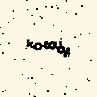 CC(C)(F)CN1CCC(c2cc3cc(-c4ccc(S(C)(=O)=O)cc4F)ncc3o2)CC1